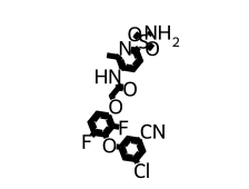 Cc1nc(S(N)(=O)=O)ccc1NC(=O)COc1ccc(F)c(Oc2cc(Cl)cc(C#N)c2)c1F